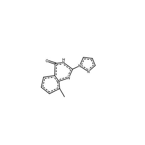 Cc1cccc2c(=O)[nH]c(-n3cccn3)nc12